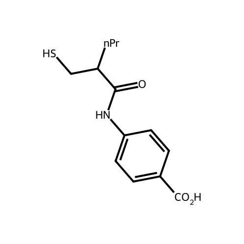 CCCC(CS)C(=O)Nc1ccc(C(=O)O)cc1